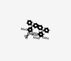 COc1cc(P(C2CCCCC2)C2CCCCC2)cc(OC)c1OC.COc1cc(P(C2CCCCC2)C2CCCCC2)cc(OC)c1OC.[Cl][Pd][Cl]